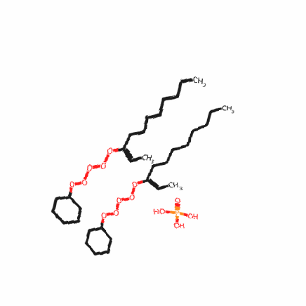 CC=C(CCCCCCCC)OOOOOC1CCCCC1.CC=C(CCCCCCCC)OOOOOC1CCCCC1.O=P(O)(O)O